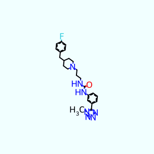 Cn1nnnc1-c1cccc(NC(=O)NCCCN2CCC(Cc3ccc(F)cc3)CC2)c1